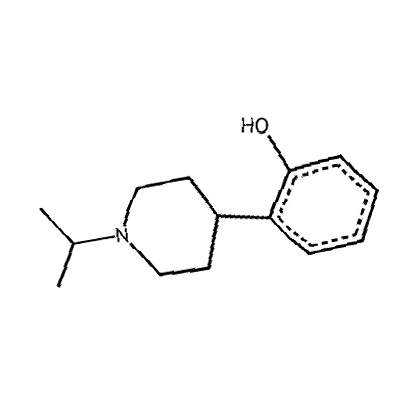 CC(C)N1CCC(c2ccccc2O)CC1